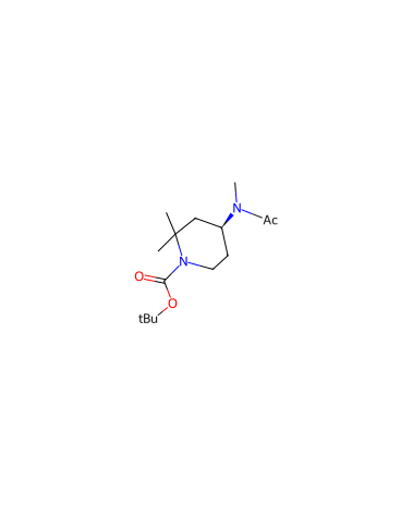 CC(=O)N(C)[C@H]1CCN(C(=O)OC(C)(C)C)C(C)(C)C1